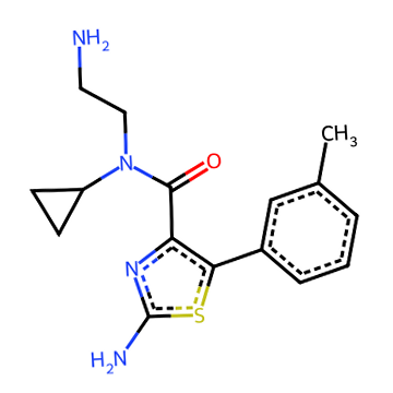 Cc1cccc(-c2sc(N)nc2C(=O)N(CCN)C2CC2)c1